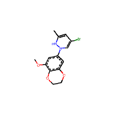 COc1cc(N2C=C(Br)C=C(C)N2)cc2c1OCCO2